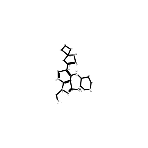 CCn1nc(C)c2c(NC3CCOCC3)c(C3=NOC4(CCC4)C3)cnc21